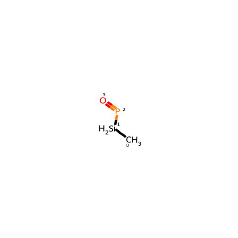 C[SiH2]P=O